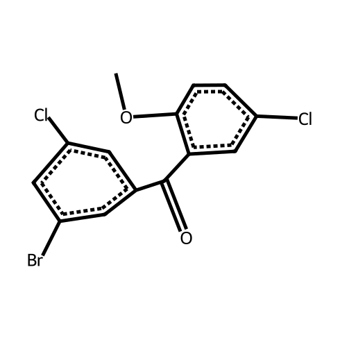 COc1ccc(Cl)cc1C(=O)c1cc(Cl)cc(Br)c1